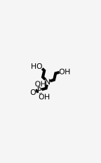 O=P(O)(O)CN(CCO)CCO